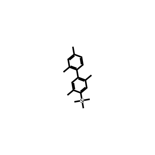 Cc1ccc(-c2cc(C)c([Si](C)(C)C)cc2C)c(C)c1